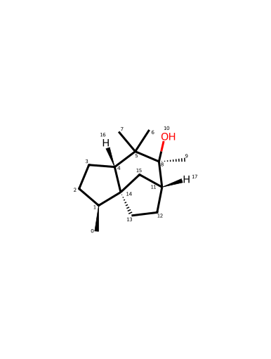 C[C@H]1CC[C@@H]2C(C)(C)[C@@](C)(O)[C@@H]3CC[C@@]21C3